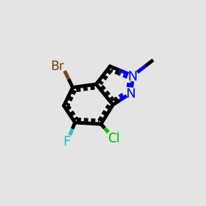 Cn1cc2c(Br)cc(F)c(Cl)c2n1